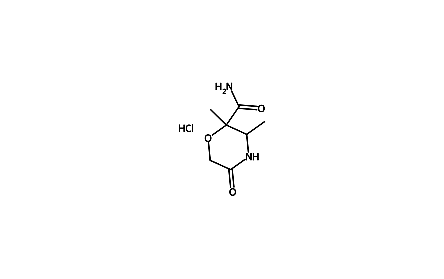 CC1NC(=O)COC1(C)C(N)=O.Cl